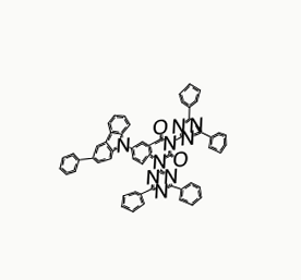 O=c1c2cc(-n3c4ccccc4c4cc(-c5ccccc5)ccc43)ccc2n(-c2nc(-c3ccccc3)nc(-c3ccccc3)n2)c(=O)n1-c1nc(-c2ccccc2)nc(-c2ccccc2)n1